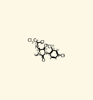 CN1C(=O)N(c2ccc(Cl)cc2Cl)C(=O)C1=NC(Cl)C(Cl)(Cl)Cl